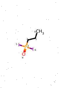 CCCP(=O)(I)I